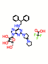 O=C(O)C(F)(F)F.OC[C@H]1O[C@@H](n2cnc3c(NCC(c4ccccc4)c4ccccc4)nc(N4CC[C@@H](N5CCCC5)C4)nc32)[C@H](O)[C@@H]1O